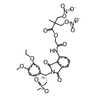 CCOc1cc([C@@H](CS(C)(=O)=O)N2C(=O)c3cccc(NC(=O)COC(=O)C(C)(CO[N+](=O)[O-])CO[N+](=O)[O-])c3C2=O)ccc1OC